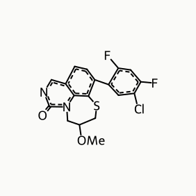 COC1CSc2c(-c3cc(Cl)c(F)cc3F)ccc3cnc(=O)n(c23)C1